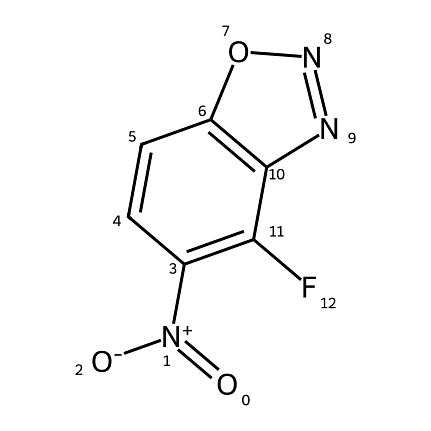 O=[N+]([O-])c1ccc2onnc2c1F